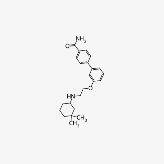 CC1(C)CCCC(NCCOc2cccc(-c3ccc(C(N)=O)cc3)c2)C1